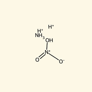 N.O=[N+]([O-])O.[H+].[H+]